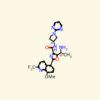 COc1ccc(-c2nc(C(=O)N[C@H]3CCN(c4ncccn4)C3)c([C@H](C)N)o2)c2ccc(C(F)(F)F)nc12